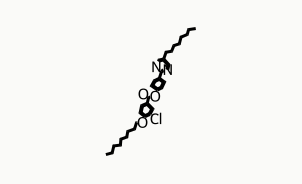 CCCCCCCCCOc1ccc(C(=O)Oc2ccc(-c3ncc(CCCCCCCC)cn3)cc2)cc1Cl